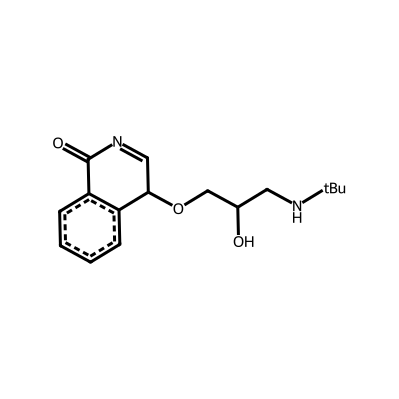 CC(C)(C)NCC(O)COC1C=NC(=O)c2ccccc21